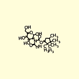 CCCC(=O)N(C(=O)O[C@@H]1CC(C)C(C)(C)C1(C)C)[C@H]1C(O)O[C@H](CO)[C@@H](O)[C@@H]1O